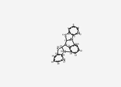 c1cnc2c(c1)SC1C3c4c(cccc4N4c5ncccc5SC34)N21